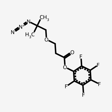 CC(C)(COCCC(=O)Oc1c(F)c(F)c(F)c(F)c1F)N=[N+]=[N-]